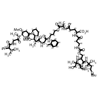 CC[C@H](C)[C@@H]([C@@H](CC(=O)N1CCCC[C@H]1[C@H](OC)[C@@H](C)C(=O)N[C@@H](Cc1ccccc1)C(=O)NCCCOC(=O)C(C)NC(=O)CCC(NC(=O)CCNC(=O)OCC(NC(C)(CO)CCN)C(=O)NC(C)(C)CCOC(C)(C)C)C(=O)O)OC)N(C)C(=O)CNC(=O)C(C(C)C)N(C)C